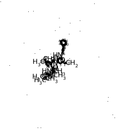 C=CCCC(NC(=O)[C@@H]1C2C(CN1C(=O)[C@@H](NC(=O)OC(C)(C)C)C(C)(C)C)C2(C)C)C(=O)C(=O)NCC#Cc1ccccc1